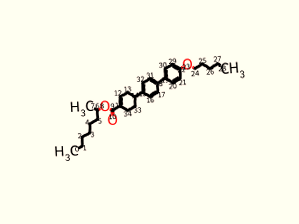 CCCCCCC(C)OC(=O)C1=CCC(c2ccc(-c3ccc(OCCCCC)cc3)cc2)CC1